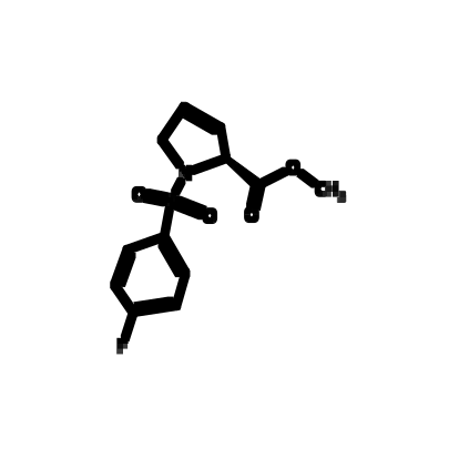 COC(=O)[C@@H]1C=CCN1S(=O)(=O)c1ccc(F)cc1